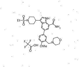 CCS(=O)(=O)N1CCC(c2c[nH]c3c(C(N)=O)cc(-c4ccc(OC)c(CN5CCOCC5)c4)cc23)CC1.O=C(O)C(F)(F)F